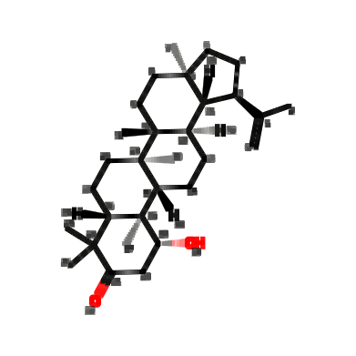 C=C(C)[C@@H]1CC[C@]2(C)CC[C@]3(C)[C@H](CC[C@@H]4[C@@]5(C)[C@H](O)CC(=O)C(C)(C)[C@@H]5CC[C@]43C)[C@@H]12